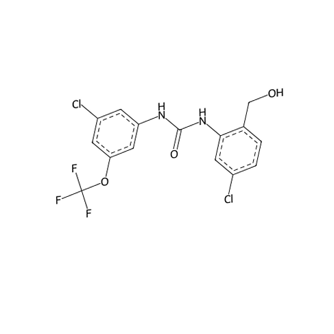 O=C(Nc1cc(Cl)cc(OC(F)(F)F)c1)Nc1cc(Cl)ccc1CO